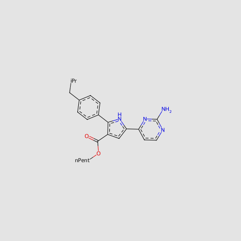 CCCCCOC(=O)c1cc(-c2ccnc(N)n2)[nH]c1-c1ccc(CC(C)C)cc1